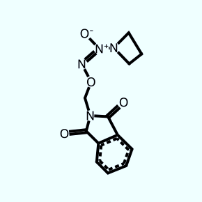 O=C1c2ccccc2C(=O)N1CO/N=[N+](/[O-])N1CCC1